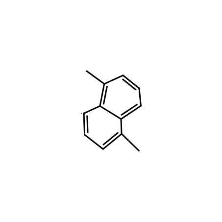 Cc1cccc2c(C)cc[c]c12